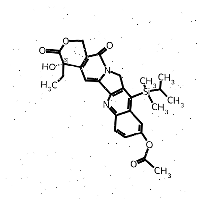 CC[C@@]1(O)C(=O)OCc2c1cc1n(c2=O)Cc2c-1nc1ccc(OC(C)=O)cc1c2[Si](C)(C)C(C)C